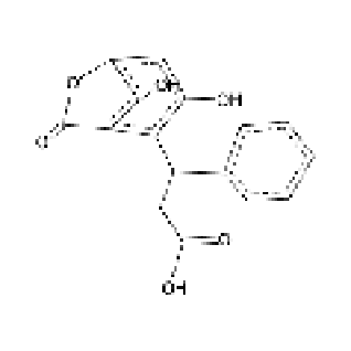 O=C(O)CC(c1ccccc1)c1c(O)cc2c(O)c1C(=O)O2